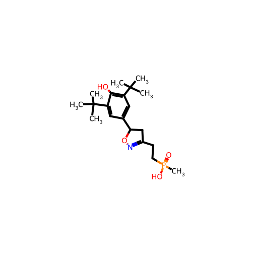 CC(C)(C)c1cc(C2CC(CCP(C)(=O)O)=NO2)cc(C(C)(C)C)c1O